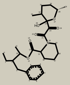 CCC(Cc1ccccc1)C(C)OC(=O)C1CCCCN1C(=O)C(=O)C1(O)O[C@@H](C)CCC1C